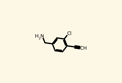 C#Cc1ccc(CN)cc1Cl